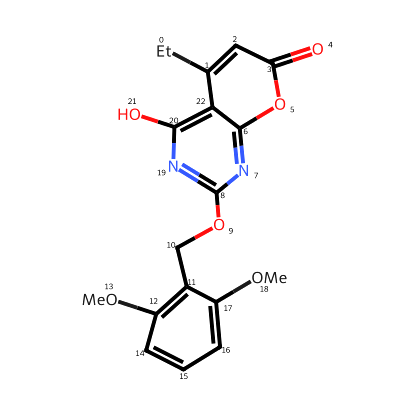 CCc1cc(=O)oc2nc(OCc3c(OC)cccc3OC)nc(O)c12